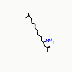 C=C(C)CCCCCCCCC(N)CC(=C)C